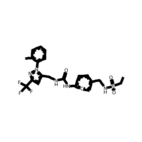 CCS(=O)(=O)NCc1ccc(NC(=O)NCc2cc(C(F)(F)F)nn2-c2ccccc2C)cc1